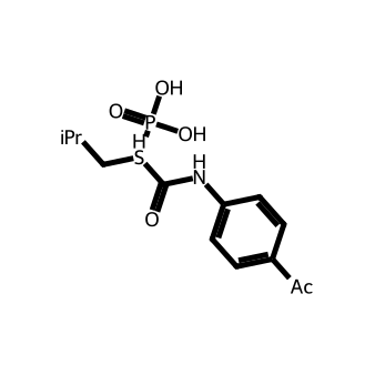 CC(=O)c1ccc(NC(=O)[SH](CC(C)C)P(=O)(O)O)cc1